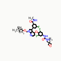 CNC(=O)c1cc(F)cc(-c2cn(COCC[Si](C)(C)C)c3nccc(Oc4c(F)cc(NC(=O)NCC5(C)COC5)cc4F)c23)c1